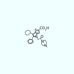 CN1CCN(C(=O)Cn2c(-c3ccccc3)c(C3CCCCC3)c3sc(C(=O)O)cc32)CC1